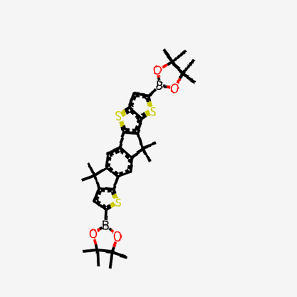 CC1(C)c2cc3c(cc2-c2sc(B4OC(C)(C)C(C)(C)O4)cc21)C(C)(C)c1c-3sc2cc(B3OC(C)(C)C(C)(C)O3)sc12